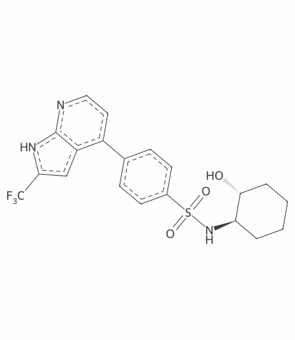 O=S(=O)(N[C@@H]1CCCC[C@H]1O)c1ccc(-c2ccnc3[nH]c(C(F)(F)F)cc23)cc1